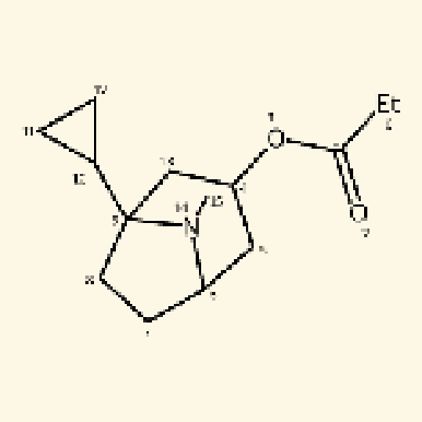 CCC(=O)OC1CC2CCC(C3CC3)(C1)N2C